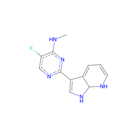 CNc1nc(C2=CNC3NC=CC=C23)ncc1F